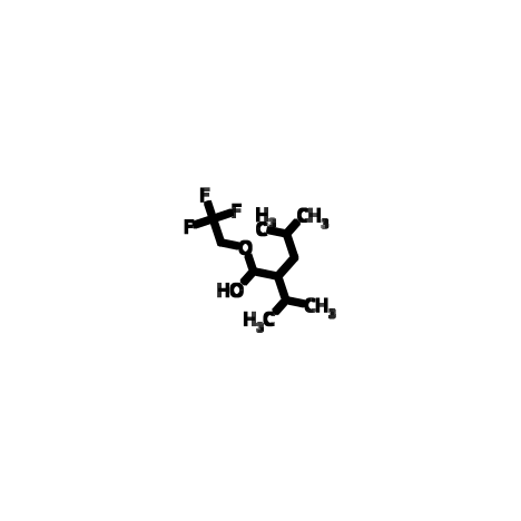 CC(C)CC(C(C)C)C(O)OCC(F)(F)F